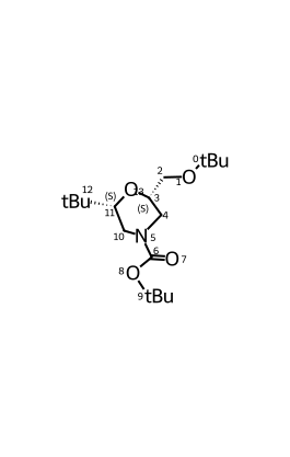 CC(C)(C)OC[C@@H]1CN(C(=O)OC(C)(C)C)C[C@H](C(C)(C)C)O1